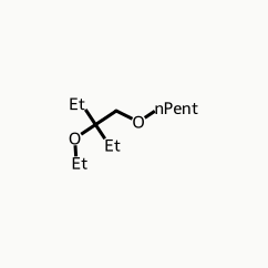 [CH2]COC(CC)(CC)COCCCCC